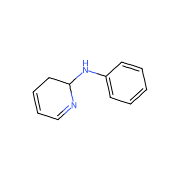 C1=CCC(Nc2ccccc2)N=C1